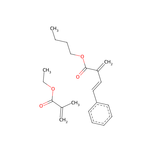 C=C(C)C(=O)OCC.C=C(C=Cc1ccccc1)C(=O)OCCCC